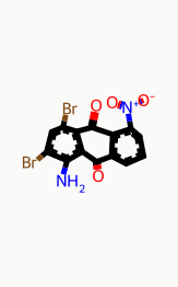 Nc1c(Br)cc(Br)c2c1C(=O)c1cccc([N+](=O)[O-])c1C2=O